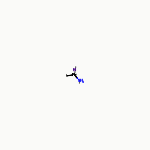 I.[CH3][Pb][NH2]